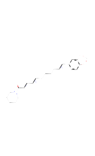 O=C(/C=C/C=C/CCCC/C=C/c1ccc2c(c1)OCO2)N1CCCCC1